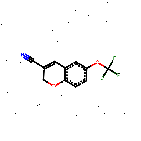 N#CC1=Cc2cc(OC(F)(F)F)ccc2OC1